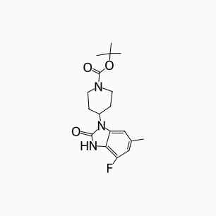 Cc1cc(F)c2[nH]c(=O)n(C3CCN(C(=O)OC(C)(C)C)CC3)c2c1